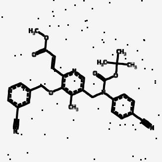 COC(=O)C=Cc1ncc(CN(C(=O)OC(C)(C)C)c2ccc(C#N)cc2)c(C)c1OCc1cccc(C#N)c1